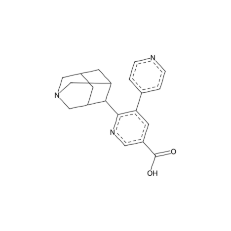 O=C(O)c1cnc(C2C3CC4CC2CN(C4)C3)c(-c2ccncc2)c1